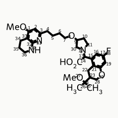 COc1cc(CCCCOC2CCN(C(C(=O)O)c3cc(F)cc4c3CC(C(C)(C)OC)CO4)C2)nc2c1CCCN2